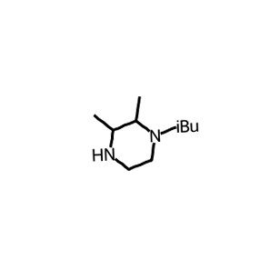 CCC(C)N1CCNC(C)C1C